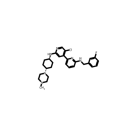 CN1CCN([C@H]2CC[C@H](Nc3cc(-c4cccc(NCc5cccc(F)c5)n4)c(Cl)cn3)CC2)CC1